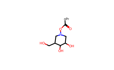 CCCC(=O)ON1CC(O)C(O)C(CO)C1